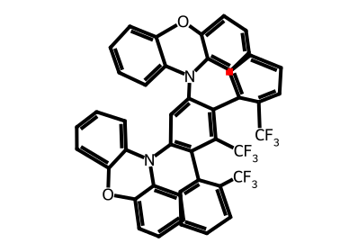 FC(F)(F)c1ccccc1-c1c(N2c3ccccc3Oc3ccccc32)cc(N2c3ccccc3Oc3ccccc32)c(-c2ccccc2C(F)(F)F)c1C(F)(F)F